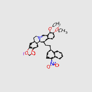 COc1ccc2c(CCc3ccc([N+](=O)[O-])c4ccccc34)c3[n+](cc2c1OC)CCc1cc2c(cc1-3)OCO2.[I-]